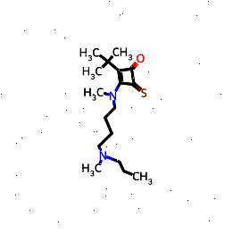 CCCN(C)CCCCN(C)c1c(C(C)(C)C)c(=O)c1=S